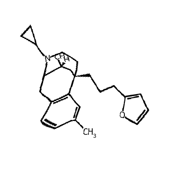 Cc1ccc2c(c1)[C@@]1(CCCc3ccco3)CCN(C3CC3)C(C2)[C@@H]1C